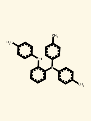 Cc1ccc(Pc2ccccc2P(c2ccc(C)cc2)c2ccc(C)cc2)cc1